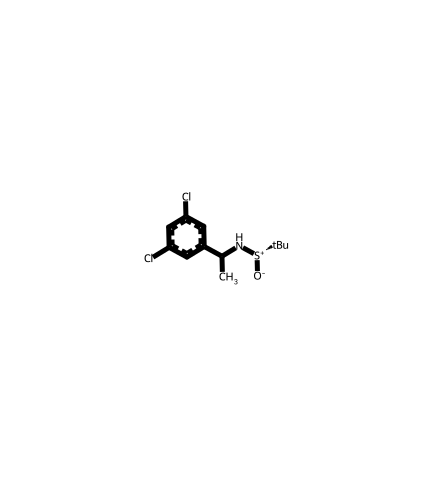 CC(N[S@@+]([O-])C(C)(C)C)c1cc(Cl)cc(Cl)c1